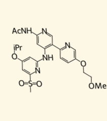 COCCOc1ccc(-c2cnc(NC(C)=O)cc2Nc2cc(OC(C)C)cc(S(C)(=O)=O)n2)nc1